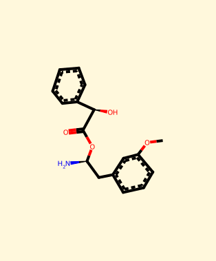 COc1cccc(C[C@@H](N)OC(=O)[C@H](O)c2ccccc2)c1